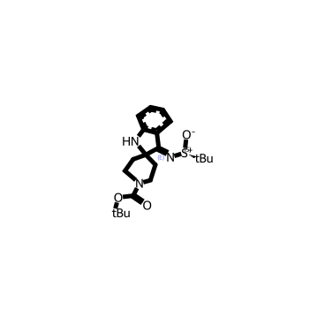 CC(C)(C)OC(=O)N1CCC2(CC1)Nc1ccccc1/C2=N\[S@+]([O-])C(C)(C)C